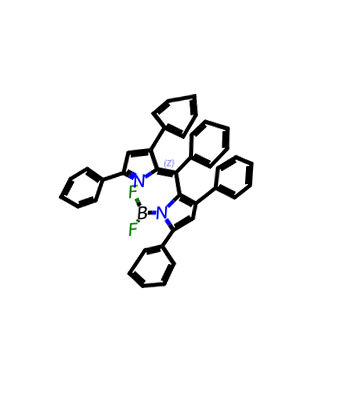 FB(F)n1c(-c2ccccc2)cc(-c2ccccc2)c1/C(=C1\N=C(c2ccccc2)C=C1c1ccccc1)c1ccccc1